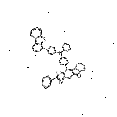 c1ccc(-c2nc3cc4oc5ccccc5c4c(-c4ccc(N(c5ccccc5)c5ccc(-c6cccc7c6sc6ccccc67)cc5)cc4)c3o2)cc1